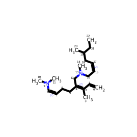 C=C/C(C)=C(/CC/C=C\N(C)C)CN(C)C/C=C\CC(C)CC